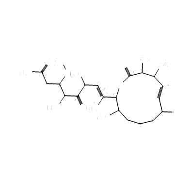 COC(CC(C)=O)C(C)C(=O)C(C)/C=C(\C)C1OC(=O)C(O)C(O)/C=C/C(C)CCCC1C